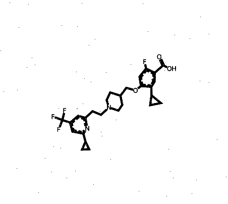 O=C(O)c1cc(C2CC2)c(OCC2CCN(CCc3cc(C(F)(F)F)cc(C4CC4)n3)CC2)cc1F